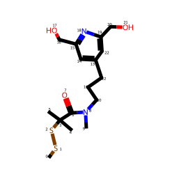 CSSC(C)(C)C(=O)N(C)CCCc1cc(CO)nc(CO)c1